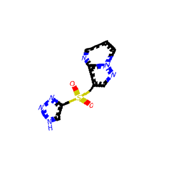 O=S(=O)(c1c[nH]nn1)c1cnn2cccnc12